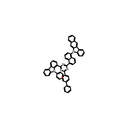 c1ccc(-c2ccc(-c3nc(-c4cccc5c(-n6c7ccccc7c7cc8ccccc8cc76)cccc45)nc(-c4cccc5c6ccccc6n(-c6ccccc6)c45)n3)cc2)cc1